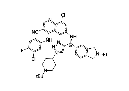 CCN1Cc2ccc([C@H](Nc3cc(Cl)c4ncc(C#N)c(Nc5ccc(F)c(Cl)c5)c4c3)c3cn(C4CCN(C(C)(C)C)CC4)nn3)cc2C1